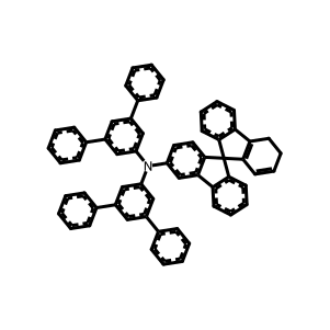 C1=CC2=C(CC1)c1ccccc1C21c2ccccc2-c2cc(N(c3cc(-c4ccccc4)cc(-c4ccccc4)c3)c3cc(-c4ccccc4)cc(-c4ccccc4)c3)ccc21